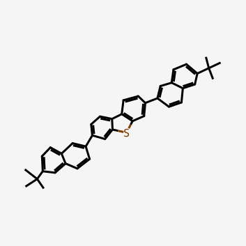 CC(C)(C)c1ccc2cc(-c3ccc4c(c3)sc3cc(-c5ccc6cc(C(C)(C)C)ccc6c5)ccc34)ccc2c1